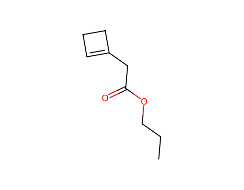 CCCOC(=O)CC1=CCC1